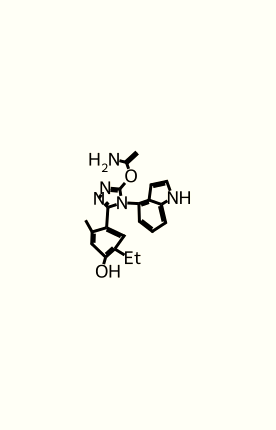 C=C(N)Oc1nnc(-c2cc(CC)c(O)cc2C)n1-c1cccc2[nH]ccc12